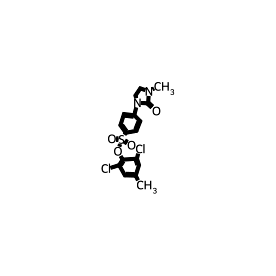 Cc1cc(Cl)c(OS(=O)(=O)c2ccc(N3CCN(C)C3=O)cc2)c(Cl)c1